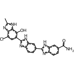 Cc1nc2c(Cl)cc(-c3nc4ccc(-c5nc6ccc(C(N)=O)cc6[nH]5)cc4[nH]3)c(O)c2[nH]1